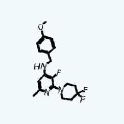 COc1ccc(CNc2cc(C)nc(N3CCC(F)(F)CC3)c2F)cc1